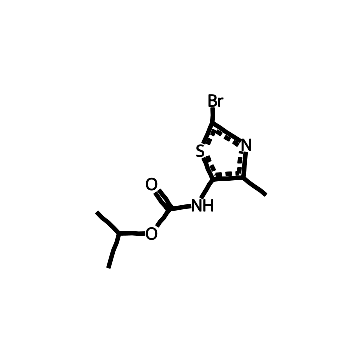 Cc1nc(Br)sc1NC(=O)OC(C)C